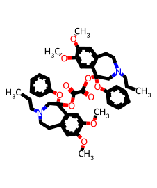 CCCN1CCc2cc(OC)c(OC)cc2C(OC(=O)C(=O)OC2(Oc3ccccc3)CN(CCC)CCc3cc(OC)c(OC)cc32)(Oc2ccccc2)C1